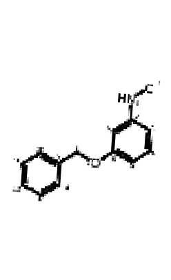 ClNc1cccc(OCc2ccccc2)c1